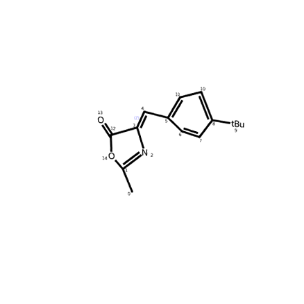 CC1=N/C(=C\c2ccc(C(C)(C)C)cc2)C(=O)O1